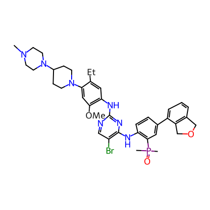 CCc1cc(Nc2ncc(Br)c(Nc3ccc(-c4cccc5c4COC5)cc3P(C)(C)=O)n2)c(OC)cc1N1CCC(N2CCN(C)CC2)CC1